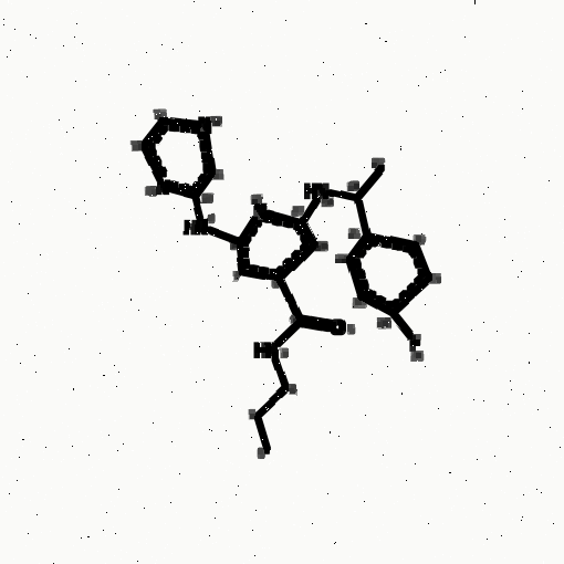 CCCNC(=O)c1cc(Nc2cnccn2)nc(NC(C)c2ccc(F)cc2)c1